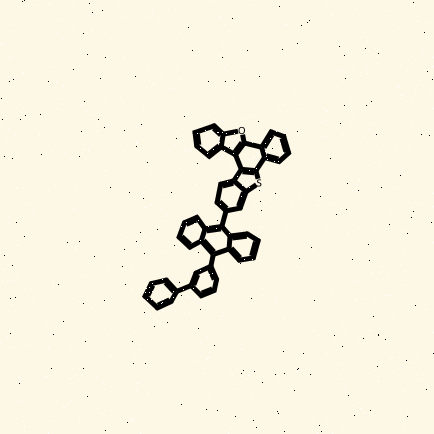 c1ccc(-c2cccc(-c3c4ccccc4c(-c4ccc5c(c4)sc4c6ccccc6c6oc7ccccc7c6c54)c4ccccc34)c2)cc1